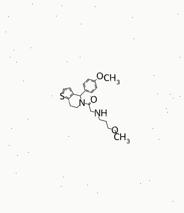 COCCCNCC(=O)N1CCc2sccc2C1c1ccc(OC)cc1